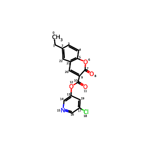 CCc1ccc2oc(=O)c(C(=O)Oc3cncc(Cl)c3)cc2c1